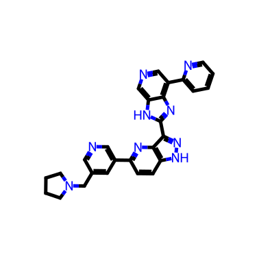 c1ccc(-c2cncc3[nH]c(-c4n[nH]c5ccc(-c6cncc(CN7CCCC7)c6)nc45)nc23)nc1